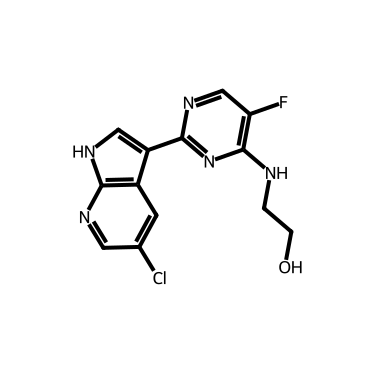 OCCNc1nc(-c2c[nH]c3ncc(Cl)cc23)ncc1F